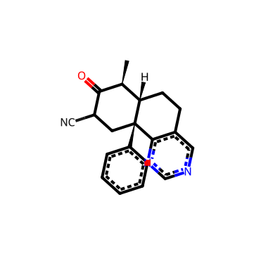 C[C@@H]1C(=O)C(C#N)C[C@@]2(c3ccccc3)c3ncncc3CC[C@@H]12